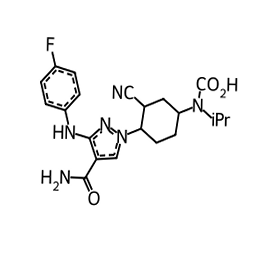 CC(C)N(C(=O)O)C1CCC(n2cc(C(N)=O)c(Nc3ccc(F)cc3)n2)C(C#N)C1